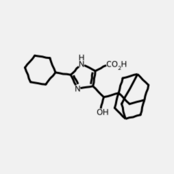 O=C(O)c1[nH]c(C2CCCCC2)nc1C(O)C12CC3CC(CC(C3)C1)C2